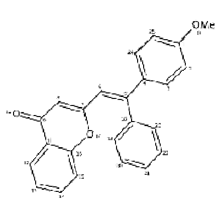 COc1ccc(C(=Cc2cc(=O)c3ccccc3o2)c2ccccc2)cc1